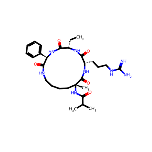 CC[C@@H]1NC(=O)[C@H](CCCNC(=N)N)NC(=O)[C@](C)(NC(=O)C(C)C)CCCCNC(=O)[C@@H](c2ccccc2)NC1=O